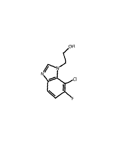 OCCn1cnc2ccc(F)c(Cl)c21